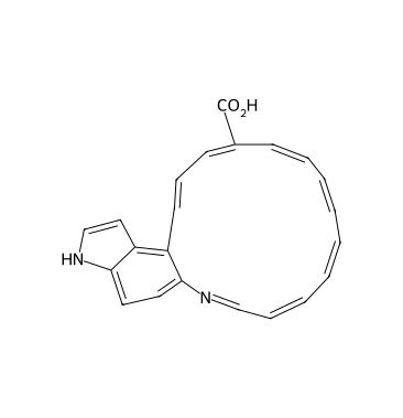 O=C(O)C1=CC=Cc2c(ccc3[nH]ccc23)N=CC=CC=CC=CC=C1